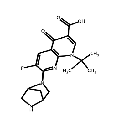 CC(C)(C)n1cc(C(=O)O)c(=O)c2cc(F)c(N3CC4CC3CN4)nc21